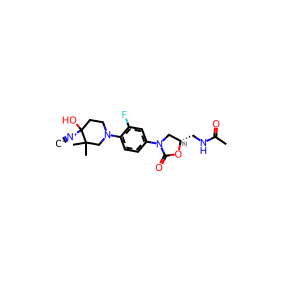 [C-]#[N+]C1(O)CCN(c2ccc(N3C[C@H](CNC(C)=O)OC3=O)cc2F)CC1(C)C